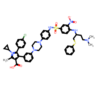 Cc1c(C(=O)O)c(-c2cccc(N3CCN(c4ccc(NS(=O)(=O)c5ccc(NC(CCN(C)C)CSc6ccccc6)c([N+](=O)[O-])c5)cc4)CC3)c2)c(-c2ccc(Cl)cc2)n1C1CC1